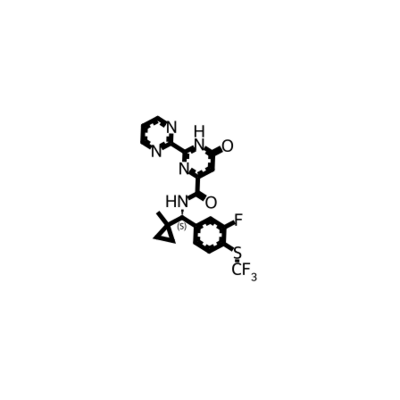 CC1([C@H](NC(=O)c2cc(=O)[nH]c(-c3ncccn3)n2)c2ccc(SC(F)(F)F)c(F)c2)CC1